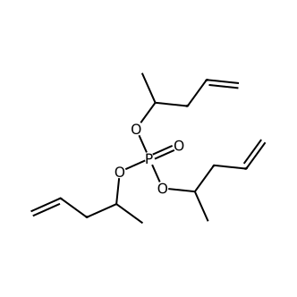 C=CCC(C)OP(=O)(OC(C)CC=C)OC(C)CC=C